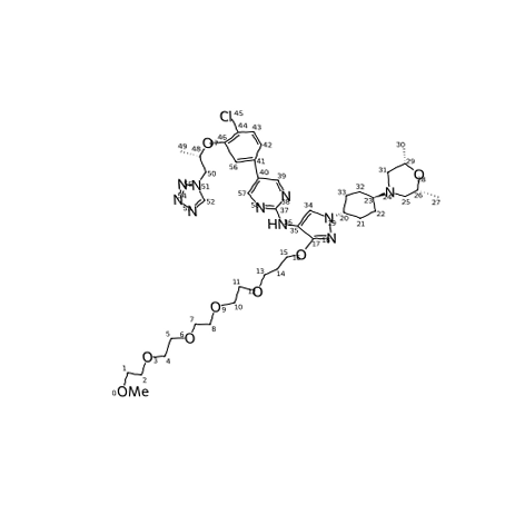 COCCOCCOCCOCCOCCCOc1nn([C@H]2CC[C@H](N3C[C@@H](C)O[C@@H](C)C3)CC2)cc1Nc1ncc(-c2ccc(Cl)c(O[C@@H](C)Cn3cnnn3)c2)cn1